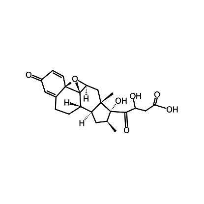 C[C@H]1C[C@H]2[C@@H]3CCC4=CC(=O)C=C[C@]4(C)[C@@]34O[C@H]4C[C@]2(C)[C@@]1(O)C(=O)C(O)CC(=O)O